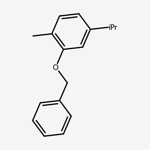 Cc1ccc(C(C)C)cc1OCc1ccccc1